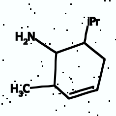 CC(C)C1CC=CC(C)C1N